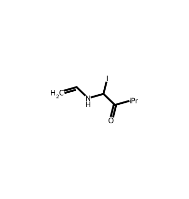 C=CNC(I)C(=O)C(C)C